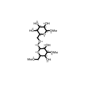 COCC1OC(OOCC2OC(OC)C(O)C(O)C2O)C(O)C(OC)C1O